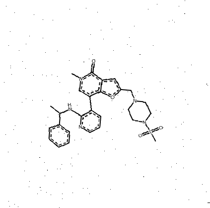 CC(Nc1ncccc1-c1cn(C)c(=O)c2cc(CN3CCN(S(C)(=O)=O)CC3)oc12)c1ccccc1